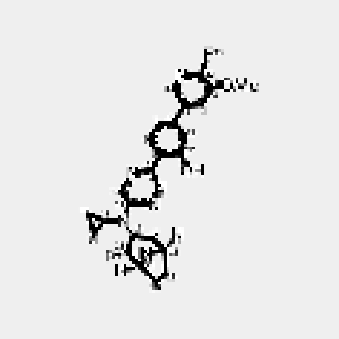 COc1cc(-c2ccc(-c3ncc(N(C4CC4)[C@H]4C[C@@H]5CC[C@@H](N5)[C@H]4F)nn3)c(O)c2)cnc1F